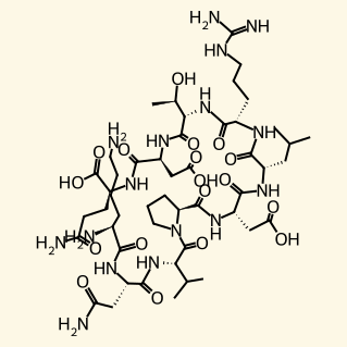 CC(C)C[C@H](NC(=O)[C@H](CC(=O)O)NC(=O)[C@@H]1CCCN1C(=O)[C@@H](NC(=O)[C@H](CC(N)=O)NC(=O)[C@@H](N)CCCCN)C(C)C)C(=O)N[C@@H](CCCNC(=N)N)C(=O)N[C@H](C(=O)N[C@@H](CC(=O)O)C(=O)N[C@@H](CCC(N)=O)C(=O)O)[C@@H](C)O